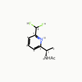 CC(=O)N[C@H](C)c1cccc(C(F)F)n1